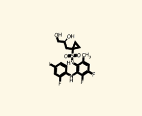 Cc1cc(F)c(F)c(Nc2ccc(I)cc2F)c1NS(=O)(=O)C1(C[C@H](O)CO)CC1